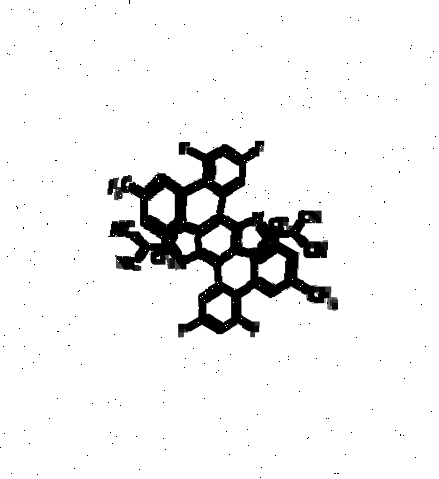 N#CC(C#N)c1nc2c(-c3cc(F)cc(F)c3-c3cc(C(F)(F)F)cc(C(F)(F)F)c3)c3oc(C(C#N)C#N)nc3c(-c3cc(F)cc(F)c3-c3cc(C(F)(F)F)cc(C(F)(F)F)c3)c2o1